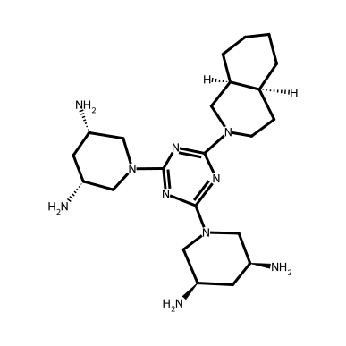 N[C@@H]1C[C@H](N)CN(c2nc(N3C[C@H](N)C[C@H](N)C3)nc(N3CC[C@@H]4CCCC[C@@H]4C3)n2)C1